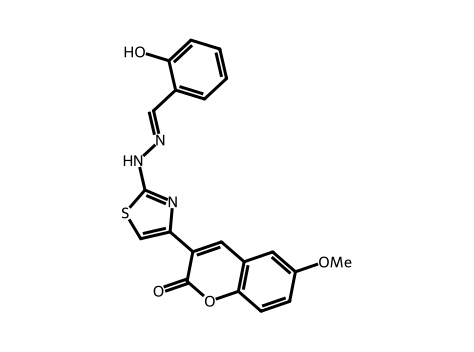 COc1ccc2oc(=O)c(-c3csc(N/N=C/c4ccccc4O)n3)cc2c1